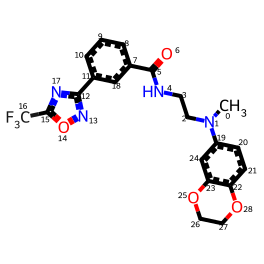 CN(CCNC(=O)c1cccc(-c2noc(C(F)(F)F)n2)c1)c1ccc2c(c1)OCCO2